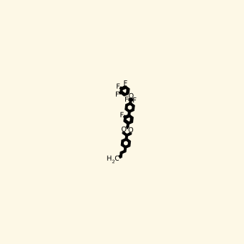 C=CCCC1CCC(C2COC(c3ccc(C4CCC(C(F)(F)Oc5cc(F)c(F)c(F)c5)CC4)c(F)c3)OC2)CC1